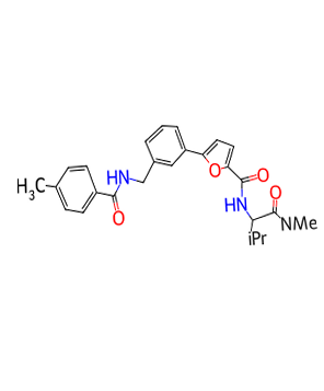 CNC(=O)C(NC(=O)c1ccc(-c2cccc(CNC(=O)c3ccc(C)cc3)c2)o1)C(C)C